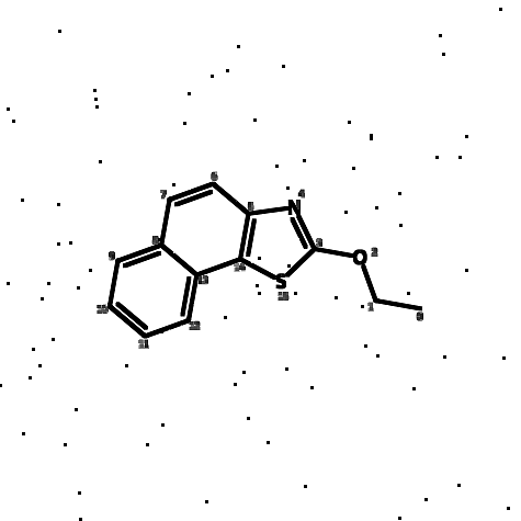 CCOc1nc2ccc3ccccc3c2s1